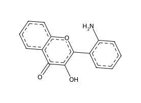 Nc1ccccc1-c1oc2ccccc2c(=O)c1O